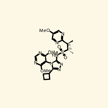 COc1cnc([C@@H](C)[C@H](C)S(=O)(=O)Nc2nnc(C3CCC3)n2-c2c(OC)ncnc2OC)nc1